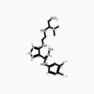 CN(C)C(C[N+](=O)[O-])NCCNc1nonc1C(=NO)Nc1ccc(F)c(F)c1